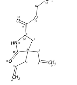 C=CCC1(CC=C)C[C@@H](C(=O)OCC)NC1=O